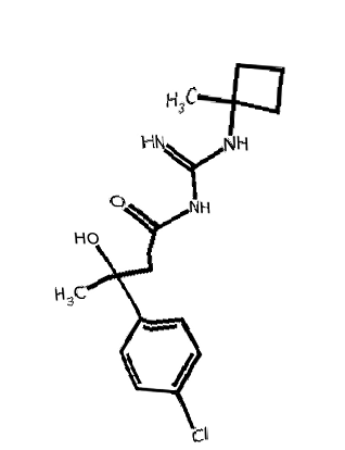 CC1(NC(=N)NC(=O)CC(C)(O)c2ccc(Cl)cc2)CCC1